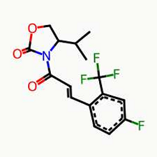 CC(C)C1COC(=O)N1C(=O)C=Cc1ccc(F)cc1C(F)(F)F